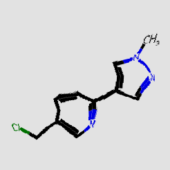 Cn1cc(-c2ccc(CCl)cn2)cn1